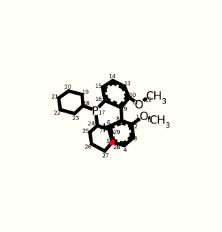 COc1cccc(I)c1-c1c(OC)cccc1P(C1CCCCC1)C1CCCCC1